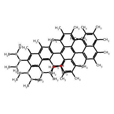 BBB(B(B)B)c1c(B(B(B)B)B(B)B)c(C)c2c(C)c(C)c(-c3c4c(C)c(C)c(C)c(C)c4c(-c4c(C)c(C)c(C)c5c(C)c(C)c(C)c(C)c45)c4c(C)c(C)c(C)c(C)c34)c(B(B)BB)c2c1B(B)B(B)B